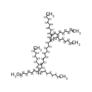 CCCCCCCC[PH](CCCCCCCC)(CCCCCCCC)CCCCCCCCCCCC[PH](CCCCCCCC)(CCCCCCCC)CCCCCCCC